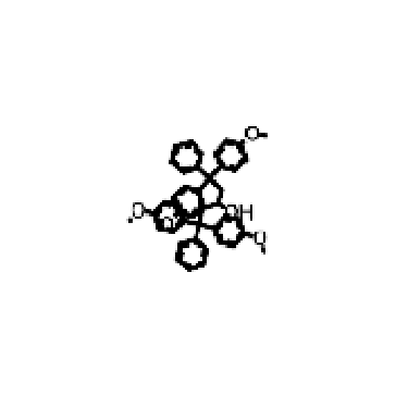 COc1ccc(C(CC(O)CC(c2ccccc2)(c2ccc(OC)cc2)c2ccc(OC)cc2)(c2ccccc2)c2ccc(OC)cc2)cc1